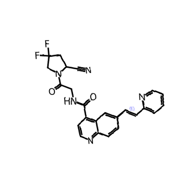 N#CC1CC(F)(F)CN1C(=O)CNC(=O)c1ccnc2ccc(/C=C/c3ccccn3)cc12